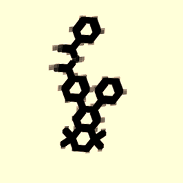 CC1(C)CCC(C)(C)c2cc(-c3ccc(C(=O)OC(=O)c4ccccc4)cc3)c(-c3ccccc3)cc21